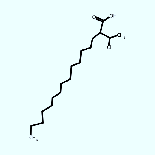 CCCCCCCCCCCCCCC(C(=O)O)C(C)Cl